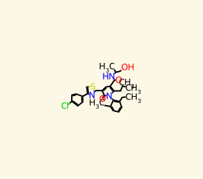 CCc1cccc(CC)c1-n1c(CC(C)C)c(C(=O)NC(C)CO)cc(-c2nc(-c3ccc(Cl)cc3)cs2)c1=O